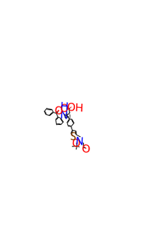 CC(C)(C)ON(CC=O)Cc1cc(-c2ccc([C@H](CC(=O)O)Nc3ccccc3C(=O)c3ccccc3)cc2)cs1